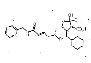 CC(C)C(CC=CC(=O)NCc1ccccn1)C[C@@H]1OC(C)(C)N(C(=O)O)[C@H]1CC1CCCCC1